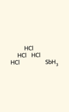 Cl.Cl.Cl.Cl.[SbH3]